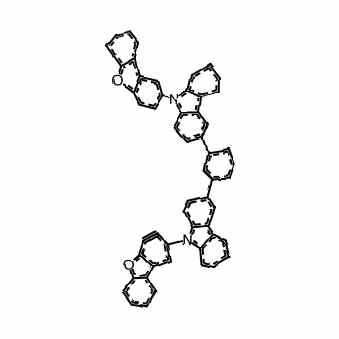 c1c(-n2c3ccccc3c3cc(-c4cccc(-c5ccc6c(c5)c5ccccc5n6-c5ccc6oc7ccccc7c6c5)c4)ccc32)cc2c(c#1)oc1ccccc12